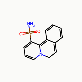 NS(=O)(=O)C1=CC=CN2CC=c3ccccc3=C12